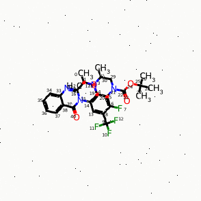 CC(C)Oc1cc(F)c(C(F)(F)F)cc1-n1c(CN2CCN(C(=O)OC(C)(C)C)C[C@@H]2C)nc2ccccc2c1=O